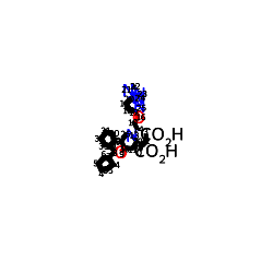 O=C(O)C=CC(=O)O.c1ccc(C(OC2CCN(CCOc3ccc4ncnn4n3)CC2)c2ccccc2)cc1